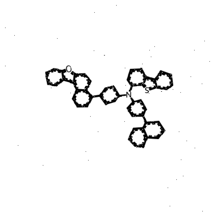 c1ccc2c(-c3ccc(N(c4ccc(-c5cccc6c5ccc5oc7ccccc7c56)cc4)c4cccc5c4sc4ccccc45)cc3)cccc2c1